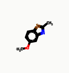 [CH2]Oc1ccc2sc(C)nc2c1